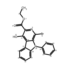 CCOC(=O)c1nc(Br)c2c(c1O)c1ccccc1n2-c1ccccc1